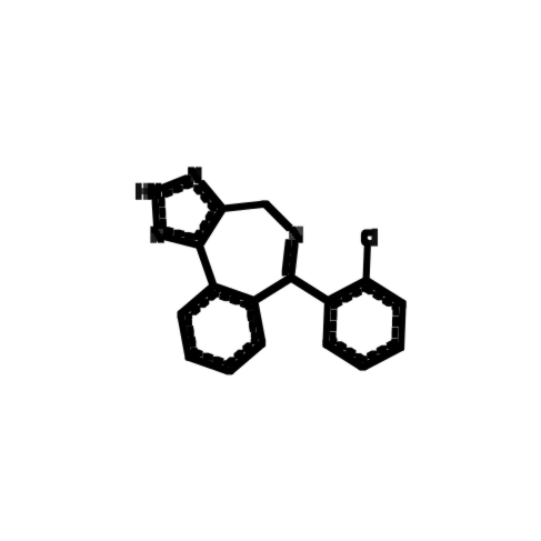 Clc1ccccc1C1=NCc2n[nH]nc2-c2ccccc21